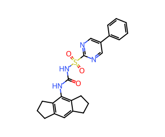 O=C(Nc1c2c(cc3c1CCC3)CCC2)NS(=O)(=O)c1ncc(-c2ccccc2)cn1